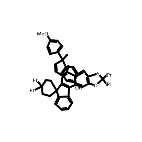 CCC1(CC)CCC2(CC1)c1ccccc1-c1c2c(/C=C\C(C)(c2ccc(O)cc2)c2ccc(OC)cc2)c(C)c2cc3c(cc12)OC(C(C)C)(C(C)C)S3